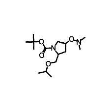 CC(C)OCC1CC(ON(C)C)CN1C(=O)OC(C)(C)C